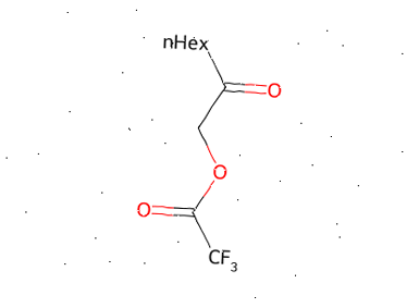 CCCCCCC(=O)COC(=O)C(F)(F)F